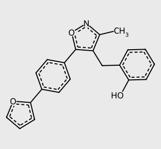 Cc1noc(-c2ccc(-c3ccco3)cc2)c1Cc1ccccc1O